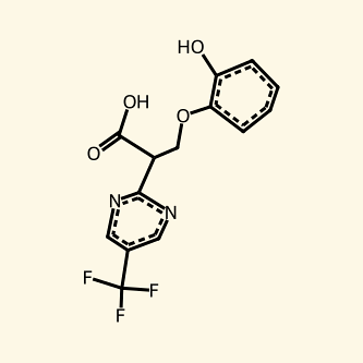 O=C(O)C(COc1ccccc1O)c1ncc(C(F)(F)F)cn1